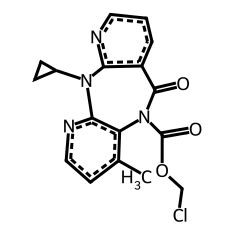 Cc1ccnc2c1N(C(=O)OCCl)C(=O)c1cccnc1N2C1CC1